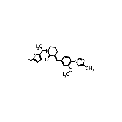 COc1cc(/C=C2\CCCN([C@H](C)c3ccc(F)s3)C2=O)ccc1-n1cnc(C)c1